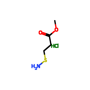 COC(=O)CCSN.Cl